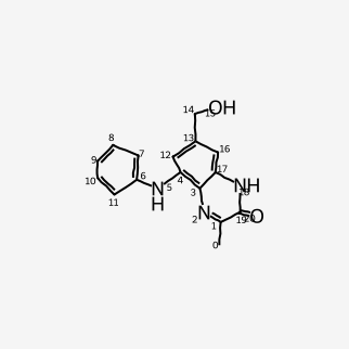 Cc1nc2c(Nc3ccccc3)cc(CO)cc2[nH]c1=O